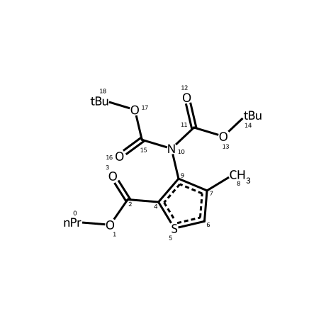 CCCOC(=O)c1scc(C)c1N(C(=O)OC(C)(C)C)C(=O)OC(C)(C)C